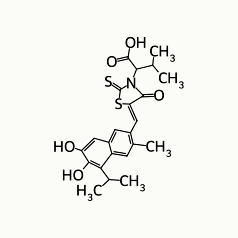 Cc1cc2c(C(C)C)c(O)c(O)cc2cc1C=C1SC(=S)N(C(C(=O)O)C(C)C)C1=O